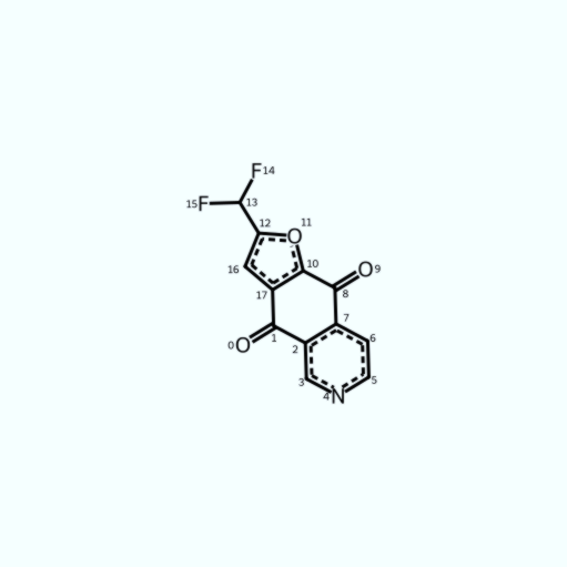 O=C1c2cnccc2C(=O)c2oc(C(F)F)cc21